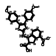 COc1ccc(-c2nc(NN3c4cccc([N+](=O)[O-])c4CC3C(=O)O)sc2-c2ccc(OC)cc2)cc1